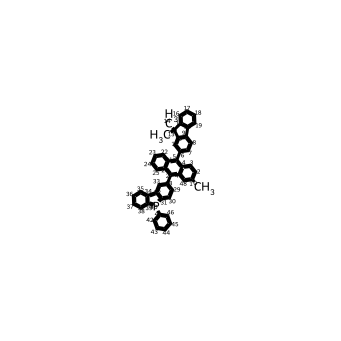 Cc1ccc2c(-c3ccc4c(c3)C(C)(C)c3ccccc3-4)c3ccccc3c(-c3ccc4c(c3)c3ccccc3p4-c3ccccc3)c2c1